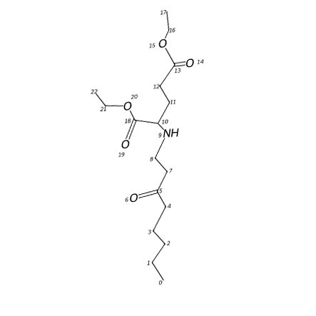 CCCCCC(=O)CCNC(CCC(=O)OCC)C(=O)OCC